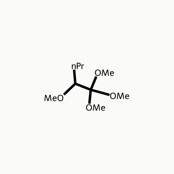 CCCC(OC)C(OC)(OC)OC